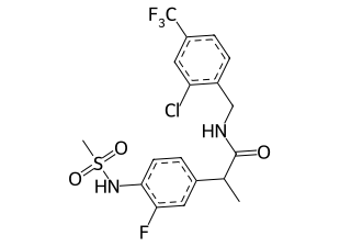 CC(C(=O)NCc1ccc(C(F)(F)F)cc1Cl)c1ccc(NS(C)(=O)=O)c(F)c1